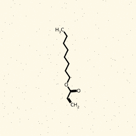 C=CC(=O)O[CH]CCCCCCC